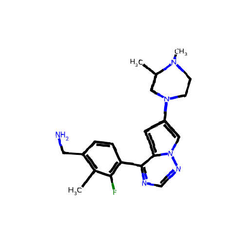 Cc1c(CN)ccc(-c2ncnn3cc(N4CCN(C)C(C)C4)cc23)c1F